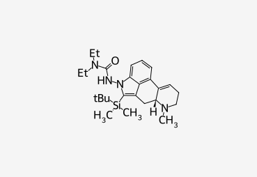 CCN(CC)C(=O)Nn1c([Si](C)(C)C(C)(C)C)c2c3c(cccc31)C1=CCCN(C)[C@@H]1C2